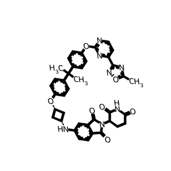 Cc1nc(-c2ccnc(Oc3ccc(C(C)(C)c4ccc(O[C@H]5C[C@@H](Nc6ccc7c(c6)C(=O)N(C6CCC(=O)NC6=O)C7=O)C5)cc4)cc3)n2)no1